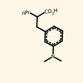 CCCC(Cc1cccc(N(C)C)c1)C(=O)O